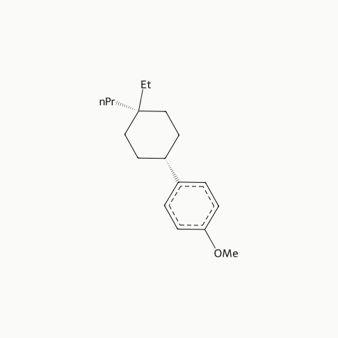 CCC[C@]1(CC)CC[C@H](c2ccc(OC)cc2)CC1